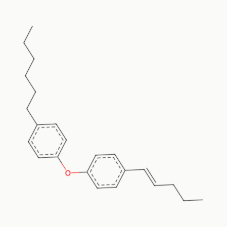 CCCC=Cc1ccc(Oc2ccc(CCCCCC)cc2)cc1